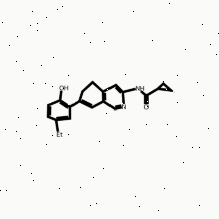 CCc1ccc(O)c(C2=Cc3cnc(NC(=O)C4CC4)cc3CC2)c1